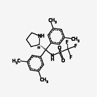 Cc1cc(C)cc(C(NS(=O)(=O)C(F)(F)F)(c2cc(C)cc(C)c2)[C@@H]2CCCN2)c1